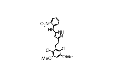 COc1cc(OC)c(Cl)c(CCc2cc(Nc3ccccc3[N+](=O)[O-])[nH]n2)c1Cl